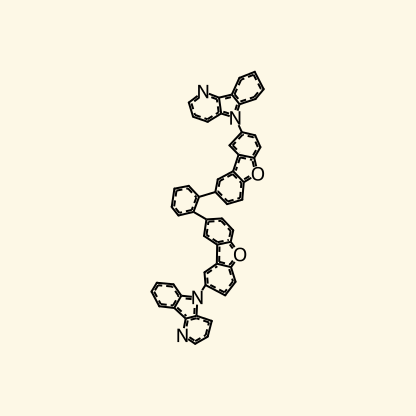 c1ccc(-c2ccc3oc4ccc(-n5c6ccccc6c6ncccc65)cc4c3c2)c(-c2ccc3oc4ccc(-n5c6ccccc6c6ncccc65)cc4c3c2)c1